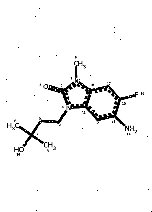 Cn1c(=O)n(CCC(C)(C)O)c2cc(N)c(F)cc21